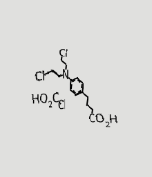 O=C(O)CCCc1ccc(N(CCCl)CCCl)cc1.O=C(O)Cl